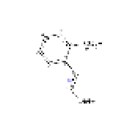 CO/C=C/c1ccccc1C(=O)O